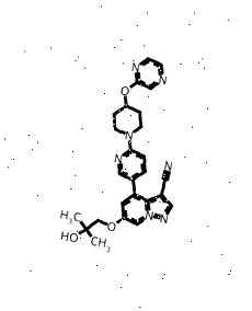 CC(C)(O)COc1cc(-c2ccc(N3CCC(Oc4cnccn4)CC3)nc2)c2c(C#N)cnn2c1